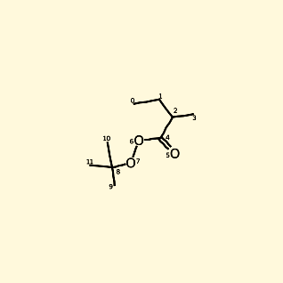 CCC(C)C(=O)OOC(C)(C)C